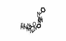 CCNc1ncc2c(n1)N(C)CCN(c1cccc(-n3cc(CN(C)Cc4ccccc4)nn3)c1)C2=O